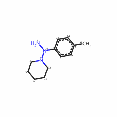 Cc1ccc(N(N)N2CCCCC2)cc1